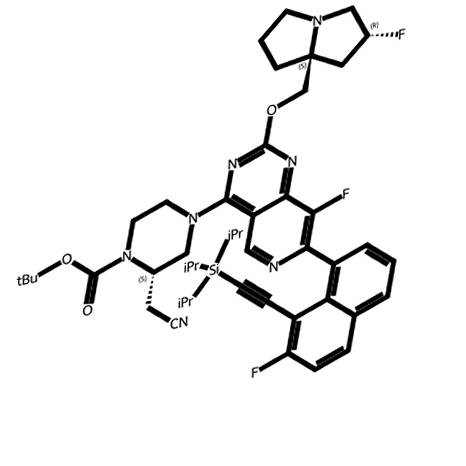 CC(C)[Si](C#Cc1c(F)ccc2cccc(-c3ncc4c(N5CCN(C(=O)OC(C)(C)C)[C@@H](CC#N)C5)nc(OC[C@@]56CCCN5C[C@H](F)C6)nc4c3F)c12)(C(C)C)C(C)C